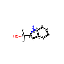 CC(C)(O)c1cc2ccccc2[nH]1